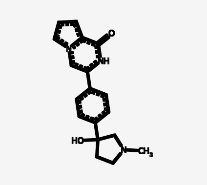 CN1CCC(O)(c2ccc(-c3cn4cccc4c(=O)[nH]3)cc2)C1